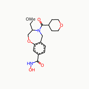 COCC1COc2cc(C(=O)NO)ccc2CN1C(=O)C1CCOCC1